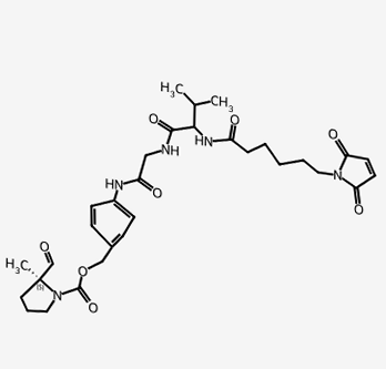 CC(C)C(NC(=O)CCCCCN1C(=O)C=CC1=O)C(=O)NCC(=O)Nc1ccc(COC(=O)N2CCC[C@@]2(C)C=O)cc1